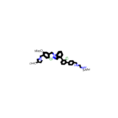 COc1cc(Cn2ncc3c(-c4cccc(-c5ccc(CNCCNSC)cc5)c4Cl)cccc32)c(Cl)cc1CN1CCC(C=O)C1